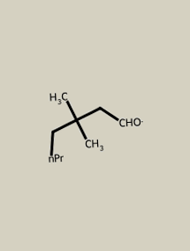 CCCCC(C)(C)C[C]=O